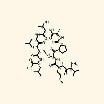 CSCC[C@H](NC(=O)[C@@H](N)C(C)C)C(=O)N[C@@H](C)C(=O)N1CCC[C@H]1C(=O)N[C@@H](C)C(=O)N[C@H](C(=O)N[C@@H](CC(C)C)C(=O)N[C@@H](CS)C(=O)N[C@@H](CC(C)C)C(=O)O)[C@@H](C)O